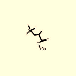 CC(C[Si](C)(F)F)C(=O)OC(C)(C)C